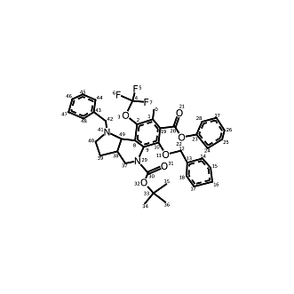 Cc1c(OC(F)(F)F)c2c(c(OCc3ccccc3)c1C(=O)Oc1ccccc1)N(C(=O)OC(C)(C)C)CC1CCN(Cc3ccccc3)C21